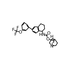 O=C(NC1CCCc2cc(-c3cccc(OC(F)(F)F)c3)ccc21)O[C@H]1CN2CCC1CC2